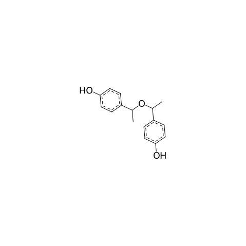 CC(OC(C)c1ccc(O)cc1)c1ccc(O)cc1